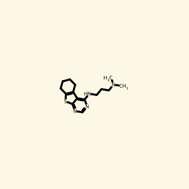 CN(C)CCCNc1ncnc2sc3c(c12)CCCC3